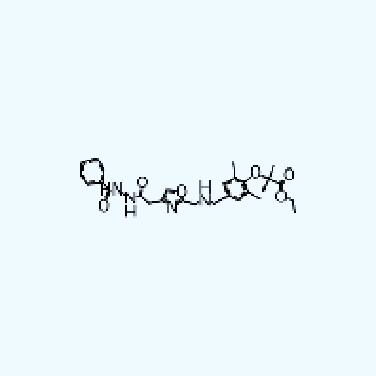 CCOC(=O)C(C)(C)Oc1c(C)cc(CNCc2nc(CC(=O)NNC(=O)c3ccccc3)co2)cc1C